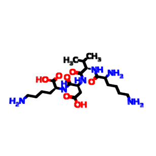 CC(C)[C@H](NC(=O)[C@@H](N)CCCCN)C(=O)N[C@@H](CC(=O)O)C(=O)N[C@@H](CCCCN)C(=O)O